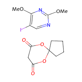 COc1ncc(I)c(OC)n1.O=C1CC(=O)OC2(CCCC2)O1